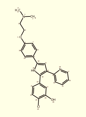 CN(C)CCOc1ccc(-c2cc(-c3ccccn3)c(-c3ccc(Cl)c(O)c3)[nH]2)cc1